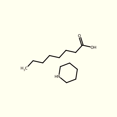 C1CCNCC1.CCCCCCCC(=O)O